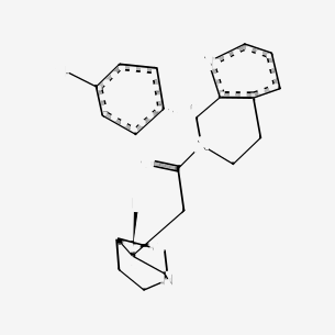 O=C(C[C@@H]1CN2CCC1CC2)N1CCc2cccnc2[C@H]1c1ccc(Cl)cc1